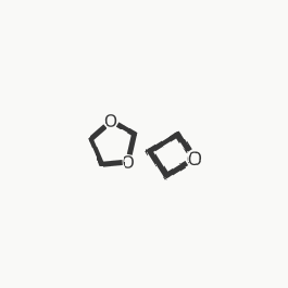 C1COC1.C1COCO1